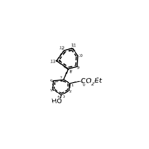 CCOC(=O)c1cc(O)ccc1-c1ccccc1